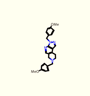 COc1ccc(CN2CCc3c(cnc4c3cnn4Cc3ccc(OC)cc3)C2)cc1